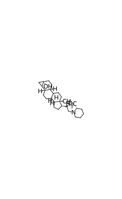 C[C@@H]1CCCCN1CC(=O)[C@H]1CC[C@H]2[C@@H]3CC[C@@H]4C5C[C@@]5(O)CC[C@@H]4[C@H]3CC[C@]12C